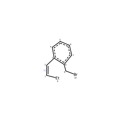 CC/C=C\c1ccccc1CBr